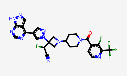 N#CC(F)C1(n2cc(-c3ncnc4[nH]ncc34)cn2)CN(C2CCN(C(=O)c3ccnc(C(F)(F)F)c3F)CC2)C1